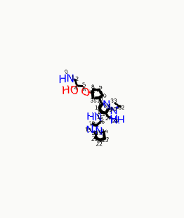 CNCC(O)COc1cccc(-c2cc(NCc3cnc4ccccn34)c(C=N)c(NC(C)C)n2)c1